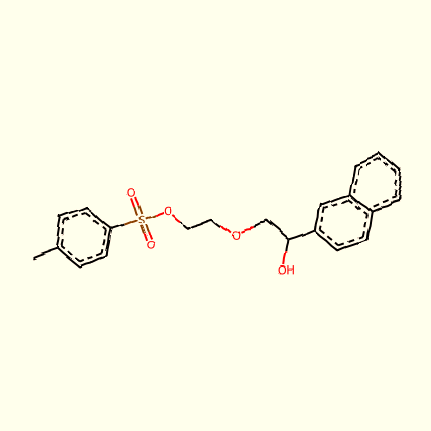 Cc1ccc(S(=O)(=O)OCCOCC(O)c2ccc3ccccc3c2)cc1